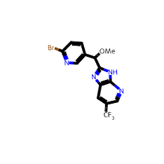 COC(c1ccc(Br)nc1)c1nc2cc(C(F)(F)F)cnc2[nH]1